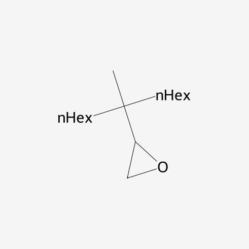 CCCCCCC(C)(CCCCCC)C1CO1